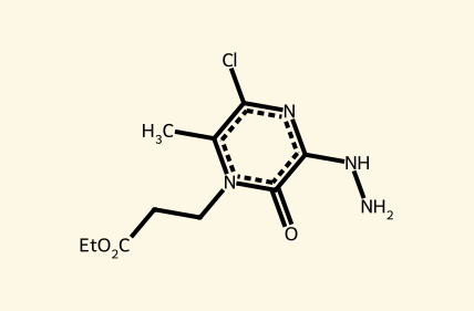 CCOC(=O)CCn1c(C)c(Cl)nc(NN)c1=O